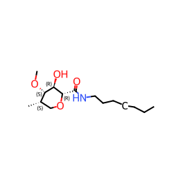 CCCCCCCNC(=O)[C@@H]1OC[C@H](C)[C@H](OC)[C@H]1O